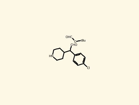 CC(C)(C)OC=O.O=CC(c1ccc(Cl)cc1)C1CCNCC1